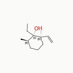 C=C[C@@]1(C)CCC[C@@H](C)[C@@]1(O)CC